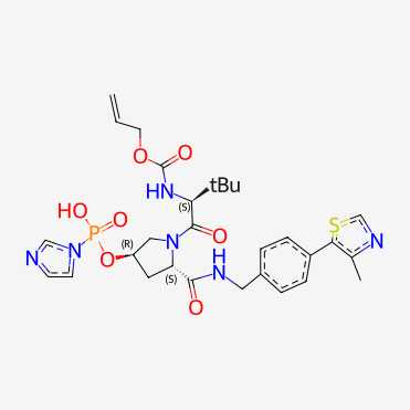 C=CCOC(=O)N[C@H](C(=O)N1C[C@H](OP(=O)(O)n2ccnc2)C[C@H]1C(=O)NCc1ccc(-c2scnc2C)cc1)C(C)(C)C